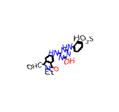 CCN1C(=O)c2cc(Nc3nc(O)nc(Nc4ccccc4S(=O)(=O)O)n3)ccc2C1C=O